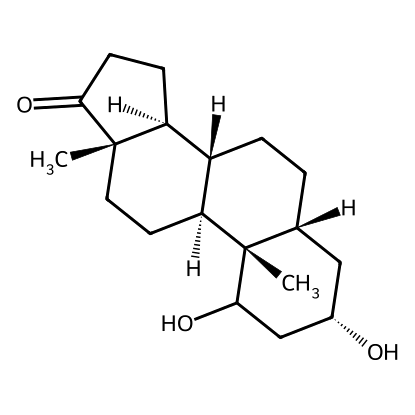 C[C@]12C(O)C[C@@H](O)C[C@H]1CC[C@@H]1[C@@H]2CC[C@]2(C)C(=O)CC[C@@H]12